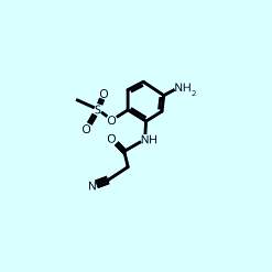 CS(=O)(=O)Oc1ccc(N)cc1NC(=O)CC#N